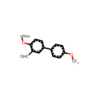 CCCCCCOc1ccc(-c2ccc(OC(F)(F)F)cc2)cc1C=O